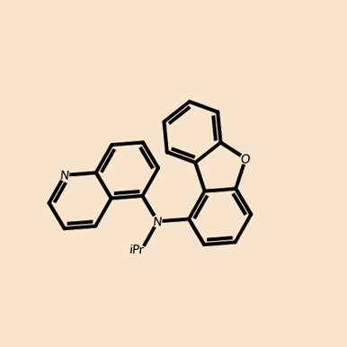 CC(C)N(c1cccc2ncccc12)c1cccc2oc3ccccc3c12